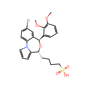 COc1cccc([C@H]2O[C@H](CCCCS(=O)(=O)O)c3cccn3-c3ccc(Cl)cc32)c1OC